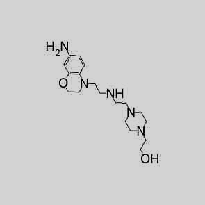 Nc1ccc2c(c1)OCCN2CCNCCN1CCN(CCO)CC1